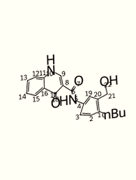 CCCCc1ccc(NC(=O)c2c[nH]c3ccccc3c2=O)cc1CO